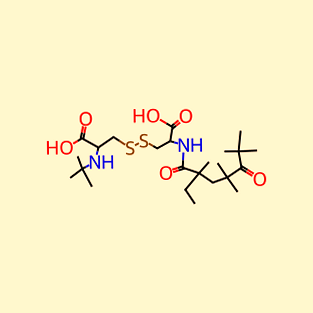 CCC(C)(CC(C)(C)C(=O)C(C)(C)C)C(=O)NC(CSSCC(NC(C)(C)C)C(=O)O)C(=O)O